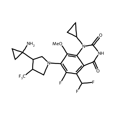 COc1c(N2CC(C(F)(F)F)C(C3(N)CC3)C2)c(F)c(C(F)F)c2c(=O)[nH]c(=O)n(C3CC3)c12